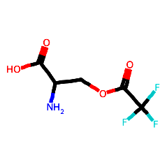 NC(COC(=O)C(F)(F)F)C(=O)O